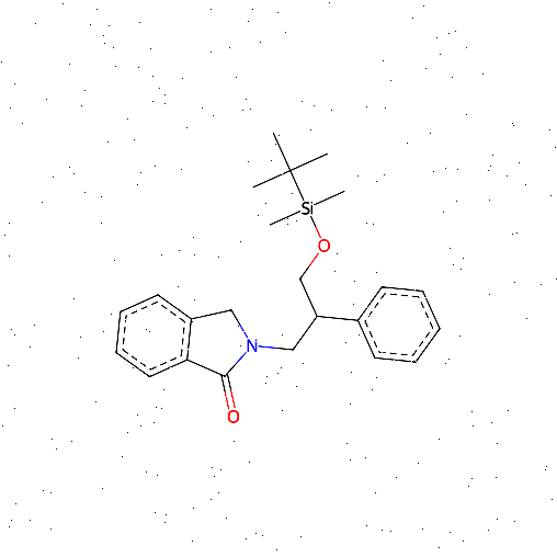 CC(C)(C)[Si](C)(C)OCC(CN1Cc2ccccc2C1=O)c1ccccc1